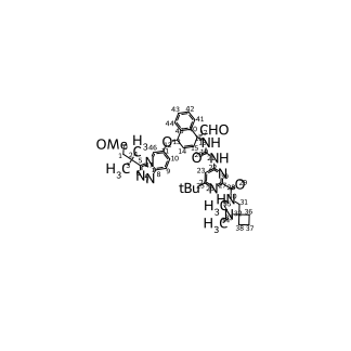 COCC(C)(C)c1nnc2ccc(O[C@@H]3C=C[C@](C=O)(NC(=O)Nc4cc(C(C)(C)C)nc(C(=O)NCC5(N(C)C)CCC5)n4)c4ccccc43)cn12